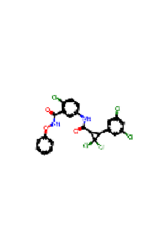 O=C(NOc1ccccc1)c1cc(NC(=O)C2C(c3cc(Cl)cc(Cl)c3)C2(Cl)Cl)ccc1Cl